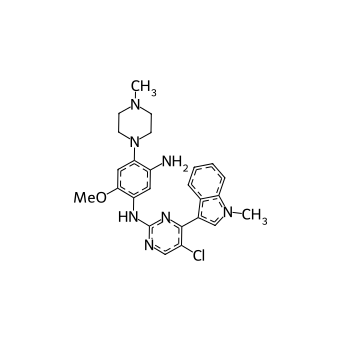 COc1cc(N2CCN(C)CC2)c(N)cc1Nc1ncc(Cl)c(-c2cn(C)c3ccccc23)n1